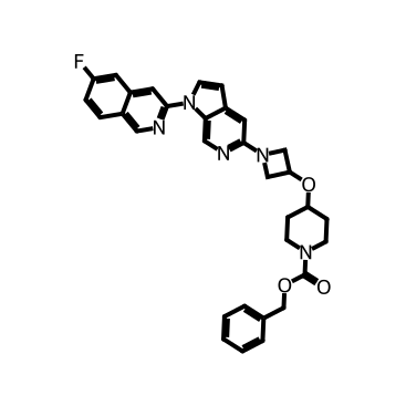 O=C(OCc1ccccc1)N1CCC(OC2CN(c3cc4ccn(-c5cc6cc(F)ccc6cn5)c4cn3)C2)CC1